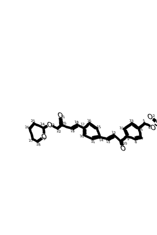 CS(=O)(=O)OCc1ccc(C(=O)/C=C/c2ccc(/C=C/C(=O)COC3CCCCO3)cc2)cc1